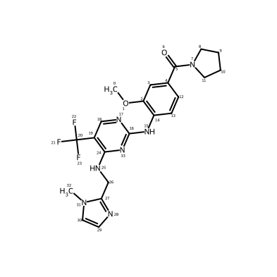 COc1cc(C(=O)N2CCCC2)ccc1Nc1ncc(C(F)(F)F)c(NCc2nccn2C)n1